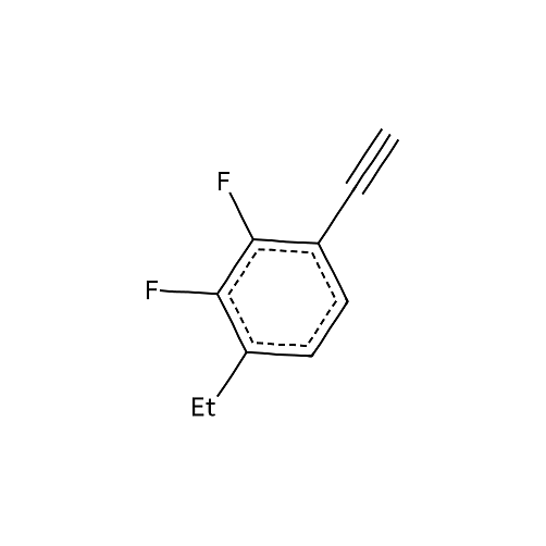 C#Cc1ccc(CC)c(F)c1F